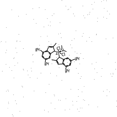 CC1=Cc2c(C(C)C)cc(C(C)C)cc2[CH]1[Zr]([Cl])([Cl])([CH]1C(C)=Cc2c(C(C)C)cc(C(C)C)cc21)=[Si](C)C